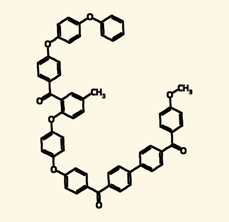 COc1ccc(C(=O)c2ccc(-c3ccc(C(=O)c4ccc(Oc5ccc(Oc6ccc(C)cc6C(=O)c6ccc(Oc7ccc(Oc8ccccc8)cc7)cc6)cc5)cc4)cc3)cc2)cc1